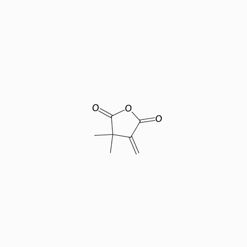 C=C1C(=O)OC(=O)C1(C)C